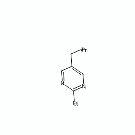 CCc1ncc(CC(C)C)cn1